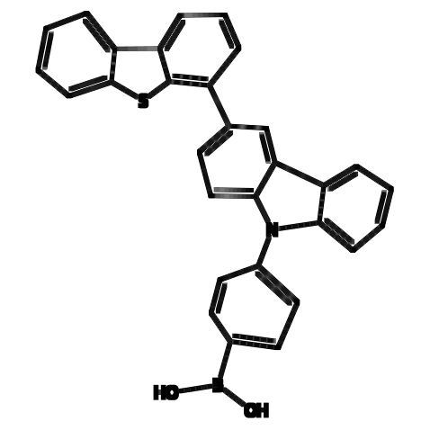 OB(O)c1ccc(-n2c3ccccc3c3cc(-c4cccc5c4sc4ccccc45)ccc32)cc1